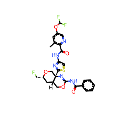 Cc1cc(OC(F)F)cnc1C(=O)Nc1csc([C@]23CO[C@@H](CF)C[C@H]2COC(NC(=O)c2ccccc2)=N3)n1